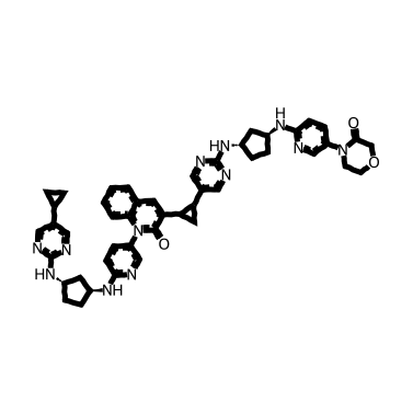 O=C1COCCN1c1ccc(N[C@H]2CC[C@H](Nc3ncc(C4CC4c4cc5ccccc5n(-c5ccc(N[C@H]6CC[C@H](Nc7ncc(C8CC8)cn7)C6)nc5)c4=O)cn3)C2)nc1